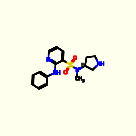 CN([C@H]1CCNC1)S(=O)(=O)c1cccnc1Nc1ccccc1